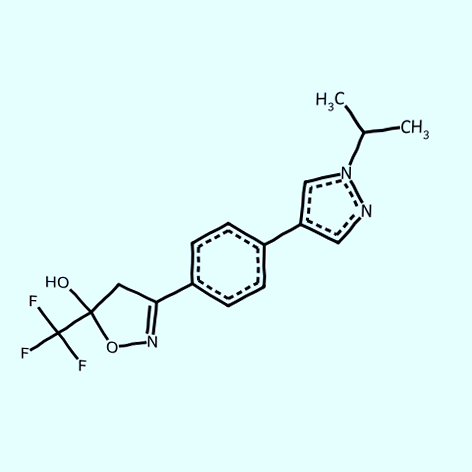 CC(C)n1cc(-c2ccc(C3=NOC(O)(C(F)(F)F)C3)cc2)cn1